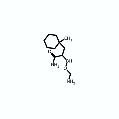 CC1(CC(BOCN)C(N)=O)CCCCC1